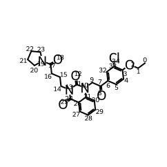 CCOc1ccc(C(=O)Cn2c(=O)n(CCCC(=O)N3CCCC3)c(=O)c3ccccc32)cc1Cl